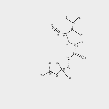 CC(C)C1CCN(C(=O)OCC(C)(C)CN(C)C)CC1C#N